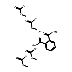 COC(=O)[O-].COC(=O)[O-].COC(=O)[O-].COC(=O)[O-].COC(=O)c1ccccc1C(=O)OC.[C+4]